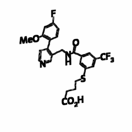 COc1cc(F)ccc1-c1ccncc1CNC(=O)c1cc(SCCCC(=O)O)cc(C(F)(F)F)c1